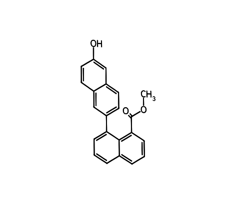 COC(=O)c1cccc2cccc(-c3ccc4cc(O)ccc4c3)c12